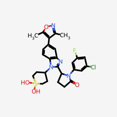 Cc1noc(C)c1-c1ccc2c(c1)nc(C1CCC(=O)N1c1cc(F)cc(Cl)c1)n2C1CCS(O)(O)CC1